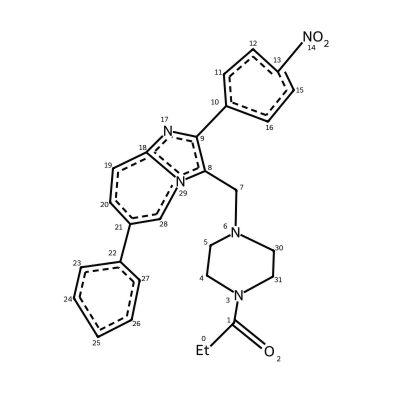 CCC(=O)N1CCN(Cc2c(-c3ccc([N+](=O)[O-])cc3)nc3ccc(-c4ccccc4)cn23)CC1